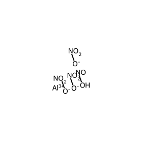 O=NO.O=[N+]([O-])[O-].O=[N+]([O-])[O-].O=[N+]([O-])[O-].[Al+3]